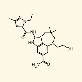 CCn1nc(C)cc1C(=O)NC1Nc2cc(C(N)=O)cc3c2N1CC(C)(C)CN3CCO